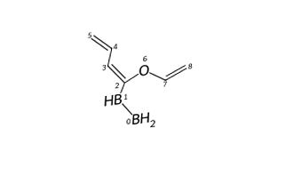 BB/C(=C/C=C)OC=C